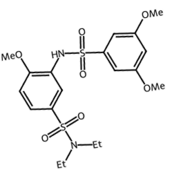 CCN(CC)S(=O)(=O)c1ccc(OC)c(NS(=O)(=O)c2cc(OC)cc(OC)c2)c1